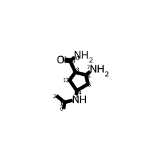 CC(C)NC1CC(N)C(C(N)=O)C1